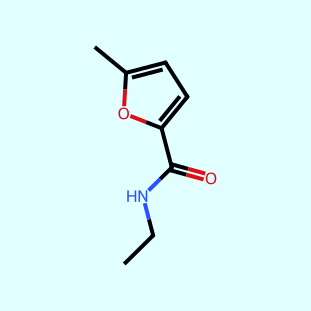 CCNC(=O)c1ccc(C)o1